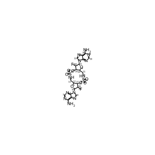 Nc1ncnc2c1ncn2C1OC2CNS(=O)(=O)OC3C(CNS(=O)(=O)OC2C1F)OC(n1cnc2c(N)ncnc21)C3F